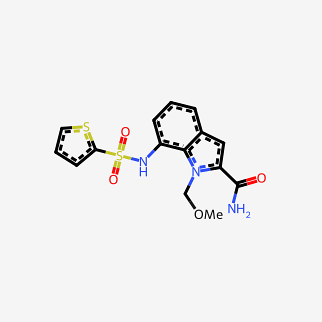 COCn1c(C(N)=O)cc2cccc(NS(=O)(=O)c3cccs3)c21